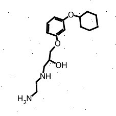 NCCNCC(O)COc1cccc(OC2CCCCC2)c1